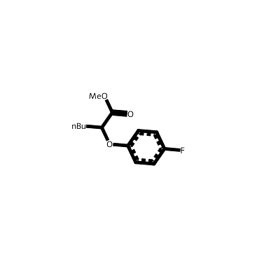 CCCCC(Oc1ccc(F)cc1)C(=O)OC